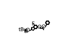 CC(COc1cc(F)c2c(c1)CC(CO[Si](C)(C)C(C)(C)C)=C2)OCc1ccccc1